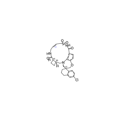 O=C1NS(=O)(=O)C/C=C\CNC(=O)[C@@H]2CC[C@H]2CN2C[C@@]3(CCCc4cc(Cl)ccc43)COc3ccc1cc32